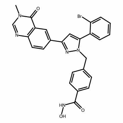 Cn1cnc2ccc(-c3cc(-c4ccccc4Br)n(Cc4ccc(C(=O)NO)cc4)n3)cc2c1=O